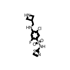 O=S(=O)(Nc1nccs1)c1cc(Cl)c(NCC2CNC2)cc1F